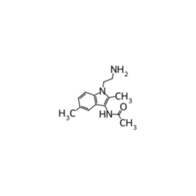 CC(=O)Nc1c(C)n(CCN)c2ccc(C)cc12